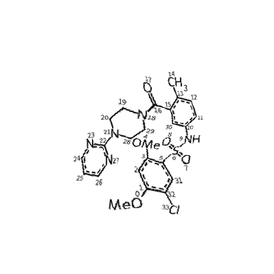 COc1cc(OC)c(S(=O)(=O)Nc2ccc(C)c(C(=O)N3CCN(c4ncccn4)CC3)c2)cc1Cl